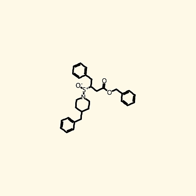 O=C(CC(Cc1ccccc1)[S+]([O-])N1CCC(Cc2ccccc2)CC1)OCc1ccccc1